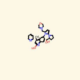 Cc1cc(O)nc2ccc(-n3c(CN4CCOCC4)ccc3N3CCCC3CO)cc12.c1ccncc1